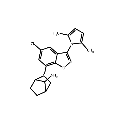 Cc1ccc(C)n1-c1noc2c(N3CC4CCC3C4N)cc(Cl)cc12